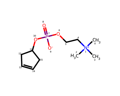 C[N+](C)(C)CCOP(=O)([O-])OC1CC=CC1